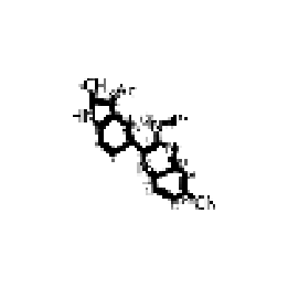 CC(=O)c1c(C)[nH]c2ccc(-c3nc4ccc(C#N)cc4nc3N(C)C(C)C)cc12